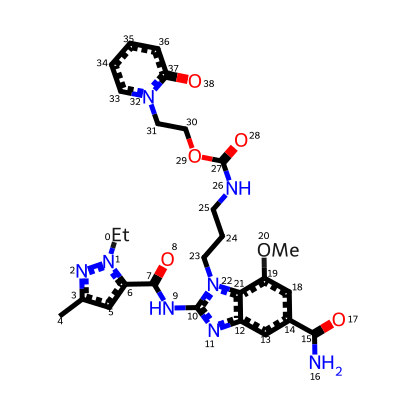 CCn1nc(C)cc1C(=O)Nc1nc2cc(C(N)=O)cc(OC)c2n1CCCNC(=O)OCCn1ccccc1=O